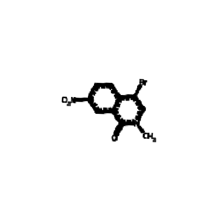 Cn1cc(Br)c2ccc([N+](=O)[O-])cc2c1=O